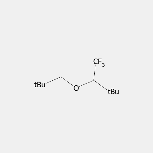 CC(C)(C)COC(C(C)(C)C)C(F)(F)F